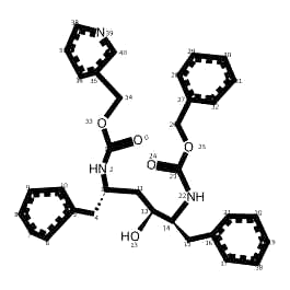 O=C(N[C@@H](Cc1ccccc1)C[C@H](O)[C@H](Cc1ccccc1)NC(=O)OCc1ccccc1)OCc1cccnc1